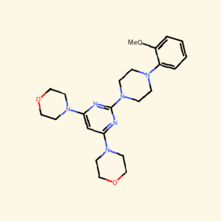 COc1ccccc1N1CCN(c2nc(N3CCOCC3)cc(N3CCOCC3)n2)CC1